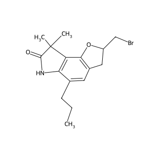 CCCc1cc2c(c3c1NC(=O)C3(C)C)OC(CBr)C2